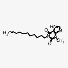 C=CCCCCCCCCCn1c(=O)c2[nH]cnc2n(C)c1=O